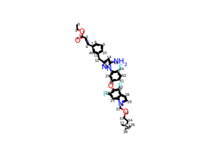 CCOC(=O)/C=C/c1cccc(Cc2cc(N)n(-c3cc(Oc4c(F)cc5c(ccn5COCC[Si](C)(C)C)c4F)ccc3F)n2)c1